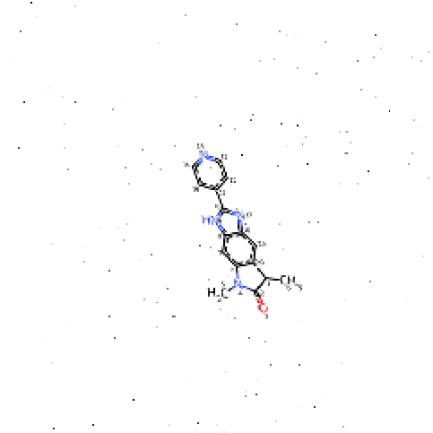 CC1C(=O)N(C)c2cc3[nH]c(-c4ccncc4)nc3cc21